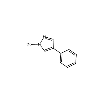 CC(C)n1cc(-c2ccccc2)cn1